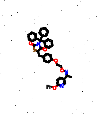 C/C(=N/OCCOc1ccc(CC2SC(=O)N(C(c3ccccc3)(c3ccccc3)c3ccccc3)C2=O)cc1)c1ccc(OC(C)C)nc1